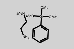 CNCCN.CO[Si](OC)(OC)c1ccccc1